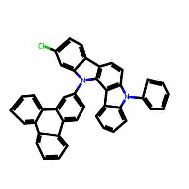 Clc1ccc2c3ccc4c(c5ccccc5n4-c4ccccc4)c3n(-c3ccc4c5ccccc5c5ccccc5c4c3)c2c1